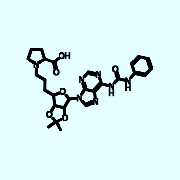 CC1(C)OC2C(CCCN3CCCC3C(=O)O)OC(n3cnc4c(NC(=O)Nc5ccccc5)ncnc43)C2O1